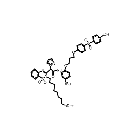 CCCCCCCCCCCCCCCCCCN1C(C(C(=O)Nc2cc(C(C)(C)C)ccc2OCCCOc2ccc(S(=O)(=O)c3ccc(O)cc3)cc2)n2cccn2)=Nc2ccccc2S1(=O)=O